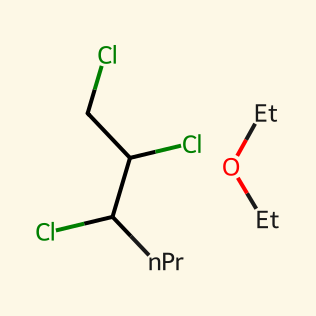 CCCC(Cl)C(Cl)CCl.CCOCC